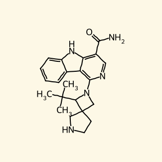 CC(C)(C)C1N(c2ncc(C(N)=O)c3[nH]c4ccccc4c23)CC12CCNC2